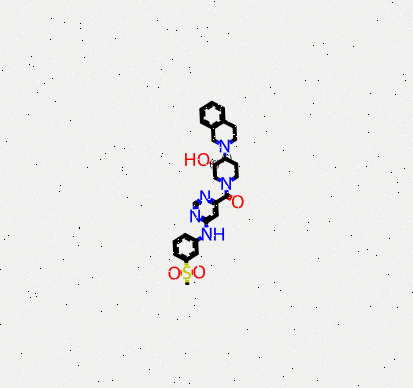 CS(=O)(=O)c1cccc(Nc2cc(C(=O)N3CC[C@H](N4CCc5ccccc5C4)[C@@H](O)C3)ncn2)c1